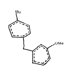 COc1cccc(Cc2ccc(C(C)(C)C)cc2)c1